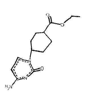 CCOC(=O)C1CCC(n2ccc(N)nc2=O)CC1